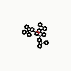 C1=CC(c2ccccc2)C(c2ccccc2-c2ccccc2N(c2ccc(C3=CC4=C(CC3)c3ccccc3C4(c3ccccc3)c3ccccc3)cc2)c2ccc3c4ccccc4n(-c4ccccc4)c3c2)C=C1